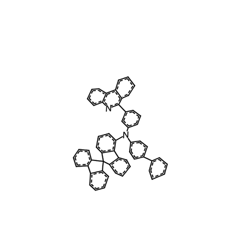 c1ccc(-c2ccc(N(c3cccc(-c4nc5ccccc5c5ccccc45)c3)c3cccc4c3-c3ccccc3C43c4ccccc4-c4ccccc43)cc2)cc1